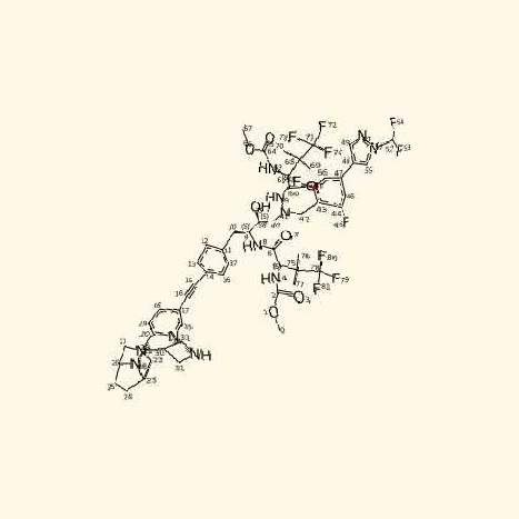 COC(=O)N[C@H](C(=O)N[C@@H](Cc1ccc(C#Cc2ccc(N3CC4CCC(C3)N4CC3CNC3)nc2)cc1)[C@@H](O)CN(Cc1c(F)cc(-c2cnn(C(F)F)c2)cc1F)NC(=O)[C@@H](NC(=O)OC)C(C)(C)C(F)(F)F)C(C)(C)C(F)(F)F